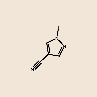 N#Cc1cnn(I)c1